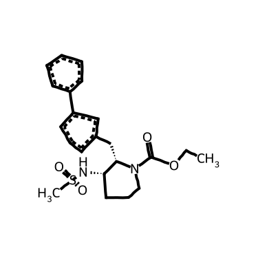 CCOC(=O)N1CCC[C@H](NS(C)(=O)=O)[C@@H]1Cc1cccc(-c2ccccc2)c1